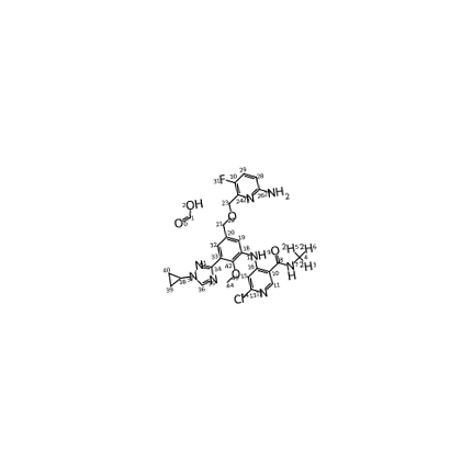 O=CO.[2H]C([2H])([2H])NC(=O)c1cnc(Cl)cc1Nc1cc(COCc2nc(N)ccc2F)cc(-c2ncn(C3CC3)n2)c1OC